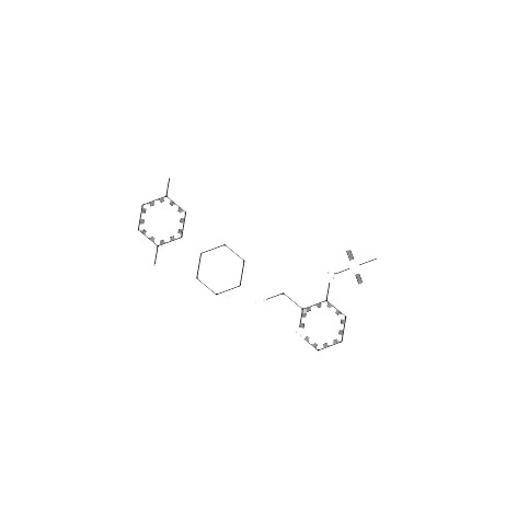 CS(=O)(=O)Nc1cccnc1CO[C@H]1CC[C@@H](c2cc(F)ccc2F)CC1